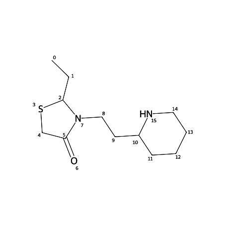 CCC1SCC(=O)N1CCC1CCCCN1